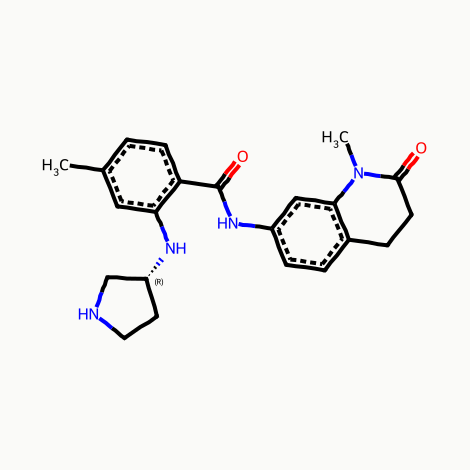 Cc1ccc(C(=O)Nc2ccc3c(c2)N(C)C(=O)CC3)c(N[C@@H]2CCNC2)c1